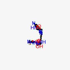 CCc1cc2c(cc1N1CCN(CCCCCCCC(=O)NC(C(=O)N3C[C@H](O)C[C@H]3C(=O)NCc3ccc(-c4scnc4C)cc3)C(C)(C)C)CC1)C(C)(C)c1[nH]c3c(c1C2=O)CCC(C#N)=C3